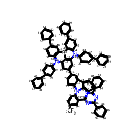 FC(F)(F)c1ccc(-n2c3ccccc3c3cc(-c4cc5c6c(c4)N(c4ccc(-c7ccccc7)cc4)c4ccc(-c7ccccc7)cc4B6c4cc(-c6ccccc6)ccc4N5c4ccc(-c5ccccc5)cc4)ccc32)c(-c2nc(-c3ccccc3)nc(-c3ccccc3)n2)c1